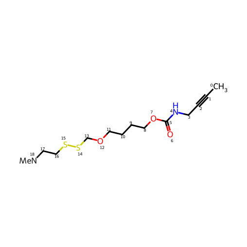 CC#CCNC(=O)OCCCCOCSSCCNC